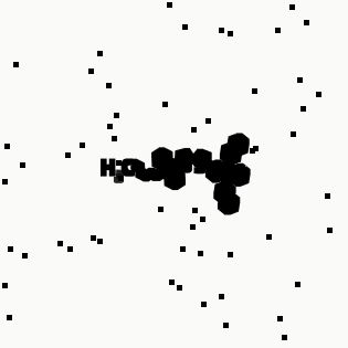 C\C=C/C=C\C=C\c1c2ccccc2c(-c2ccc(-c3ccc(-c4ccc5c(-c6ccc7ccccc7c6)c6ccccc6c(-c6ccc7ccccc7c6)c5c4)s3)s2)c2ccccc12